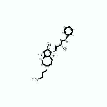 CCOC(=O)CCC[C@H]1CC[C@@H]2[C@@H](/C=C/[C@@H](O)COc3ccccc3)[C@H](O)C[C@@H]2OC1